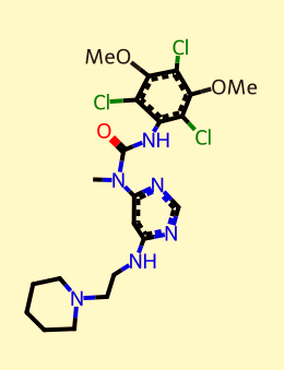 COc1c(Cl)c(NC(=O)N(C)c2cc(NCCN3CCCCC3)ncn2)c(Cl)c(OC)c1Cl